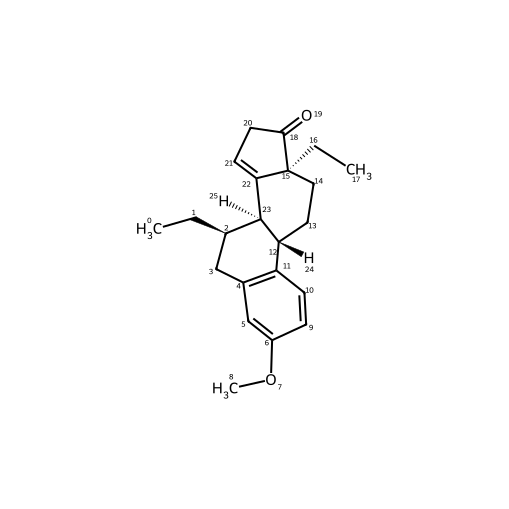 CC[C@@H]1Cc2cc(OC)ccc2[C@H]2CC[C@]3(CC)C(=O)CC=C3[C@H]12